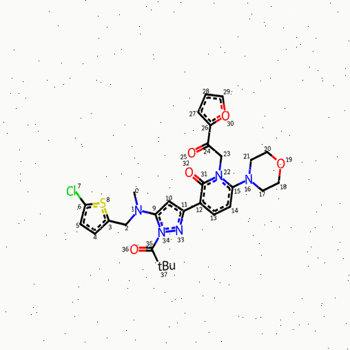 CN(Cc1ccc(Cl)s1)c1cc(-c2ccc(N3CCOCC3)n(CC(=O)c3ccco3)c2=O)nn1C(=O)C(C)(C)C